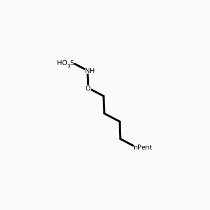 CCCCCCCCCONS(=O)(=O)O